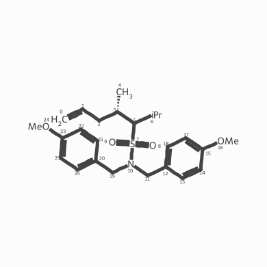 C=CC[C@H](C)C(C(C)C)S(=O)(=O)N(Cc1ccc(OC)cc1)Cc1ccc(OC)cc1